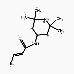 CCC=CC(=O)NC1CC(C)(C)NC(C)(C)C1